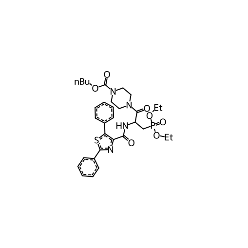 CCCCOC(=O)N1CCN(C(=O)C(CP(=O)(OCC)OCC)NC(=O)c2nc(-c3ccccc3)sc2-c2ccccc2)CC1